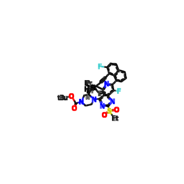 CCS(=O)(=O)c1nc2c3c(nc(-c4cccc5ccc(F)c(C#C[Si](C(C)C)(C(C)C)C(C)C)c45)c(F)c3n1)C[C@H](C)[C@H]1CN(C(=O)OC(C)(C)C)CCN21